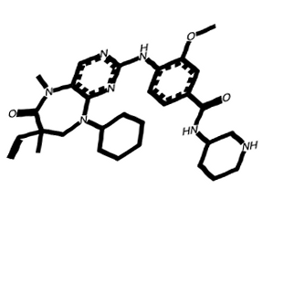 C=CC1(C)CN(C2CCCCC2)c2nc(Nc3ccc(C(=O)NC4CCCNC4)cc3OC)ncc2N(C)C1=O